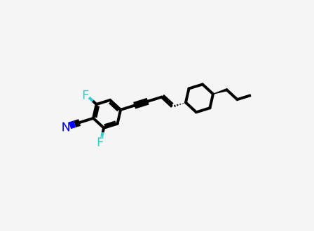 CCC[C@H]1CC[C@H](C=CC#Cc2cc(F)c(C#N)c(F)c2)CC1